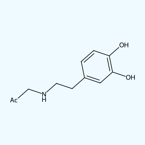 CC(=O)CNCCc1ccc(O)c(O)c1